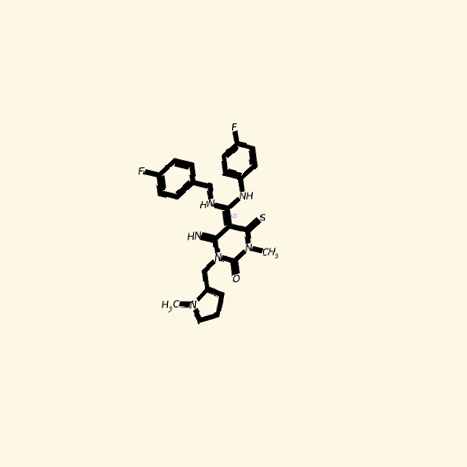 CN1C(=O)N(CC2CCCN2C)C(=N)/C(=C(\NCc2ccc(F)cc2)Nc2ccc(F)cc2)C1=S